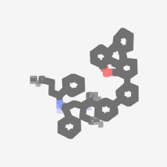 CCCC(/N=C(\C/C(CC)=C(\C)c1cccc(-c2cccc(-c3ccc4c5ccccc5c5cccc6oc3c4c65)c2)c1)c1ccccc1)c1ccccc1